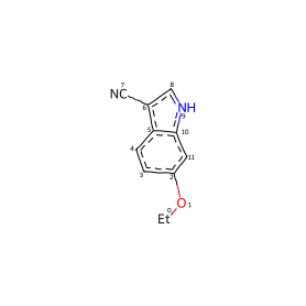 CCOc1ccc2c(C#N)c[nH]c2c1